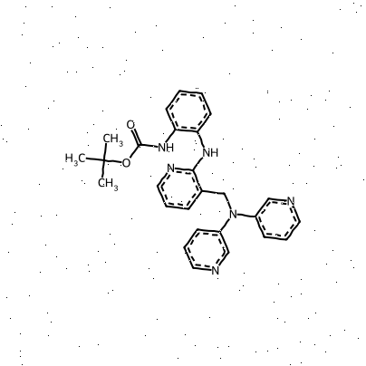 CC(C)(C)OC(=O)Nc1ccccc1Nc1ncccc1CN(c1cccnc1)c1cccnc1